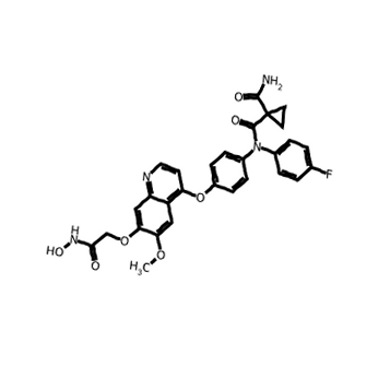 COc1cc2c(Oc3ccc(N(C(=O)C4(C(N)=O)CC4)c4ccc(F)cc4)cc3)ccnc2cc1OCC(=O)NO